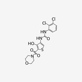 O=C(Nc1csc(S(=O)(=O)N2CCOCC2)c1O)Nc1cccc(Cl)c1Cl